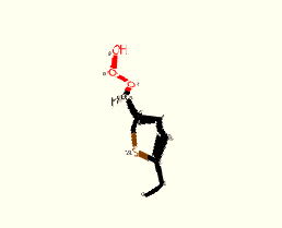 CCc1ccc(BOOO)s1